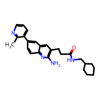 Cc1ncccc1-c1ccc2nc(N)c(CCC(=O)NCC3CCCCC3)cc2c1